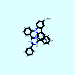 COc1ccc2c(c1)c1cc(OC)ccc1n2-c1ccccc1-c1nc(-c2ccccc2)nc(-c2ccccc2)n1